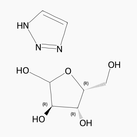 OC[C@H]1OC(O)[C@H](O)[C@H]1O.c1c[nH]nn1